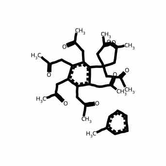 CC(=O)Cc1c(CC(C)=O)c(CC(C)=O)c(C(CC(C)=O)(CC(C)=O)CC(C)=O)c(CC(C)=O)c1CC(C)=O.Cc1ccccc1